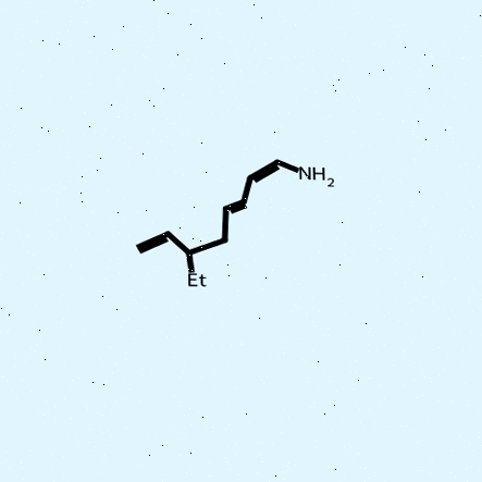 C=CC(CC)C/C=C/C=C\N